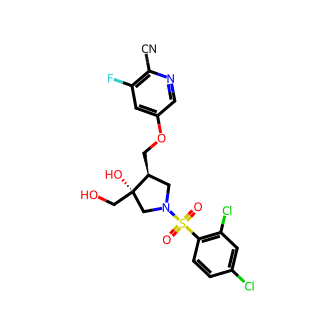 N#Cc1ncc(OC[C@H]2CN(S(=O)(=O)c3ccc(Cl)cc3Cl)C[C@@]2(O)CO)cc1F